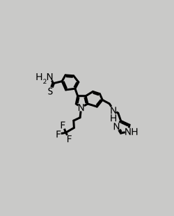 NC(=S)c1cccc(-c2cn(CCCC(F)(F)F)c3cc(CNCc4c[nH]cn4)ccc23)c1